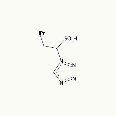 CC(C)CC(n1cnnn1)S(=O)(=O)O